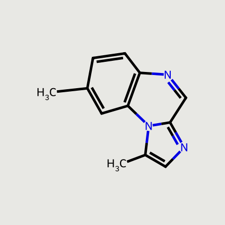 Cc1ccc2ncc3ncc(C)n3c2c1